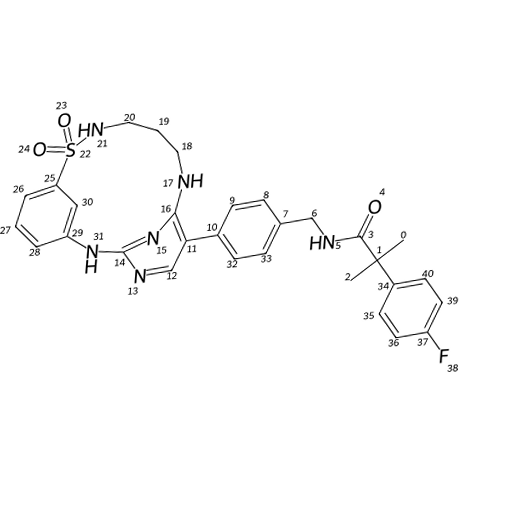 CC(C)(C(=O)NCc1ccc(-c2cnc3nc2NCCCNS(=O)(=O)c2cccc(c2)N3)cc1)c1ccc(F)cc1